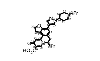 CC(C)C1Cc2cc(-c3cnn(C4CCN(C(C)C)CC4)c3)c3c(c2-c2cc(=O)c(C(=O)O)cn21)CCO3